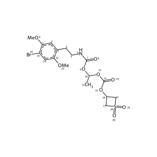 COc1cc(CCNC(=O)OC(C)OC(=O)OC2CS(=O)(=O)C2)c(OC)cc1Br